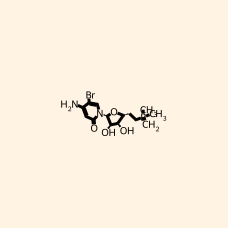 C=P(C)(C)CC[C@H]1O[C@@H](n2cc(Br)c(N)cc2=O)[C@H](O)[C@@H]1O